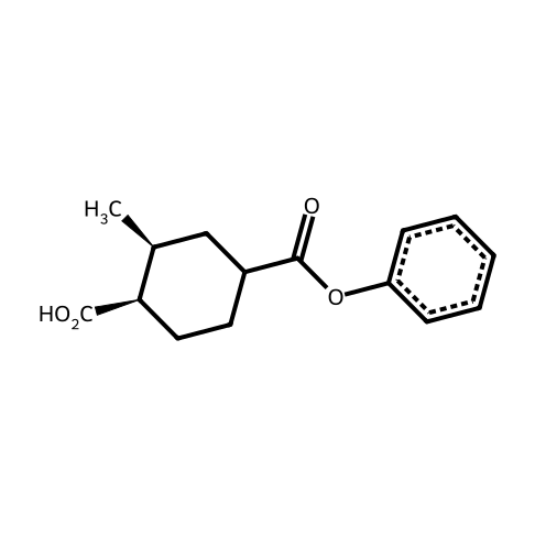 C[C@H]1CC(C(=O)Oc2ccccc2)CC[C@H]1C(=O)O